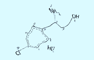 Cl.N[C@H](CO)c1ccc(Cl)cc1